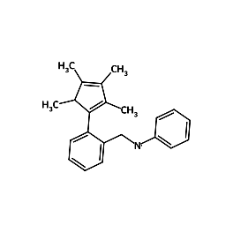 CC1=C(C)C(C)C(c2ccccc2C[N]c2ccccc2)=C1C